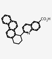 O=C(O)c1ccc2nc(C3CCCc4ccc5c(ccc6ccccc65)c43)ccc2c1